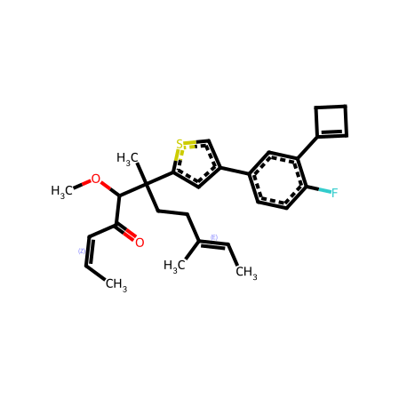 C/C=C\C(=O)C(OC)C(C)(CC/C(C)=C/C)c1cc(-c2ccc(F)c(C3=CCC3)c2)cs1